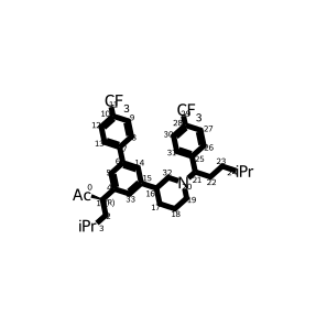 CC(=O)[C@H](CC(C)C)c1cc(-c2ccc(C(F)(F)F)cc2)cc(C2CCCN(C(CCC(C)C)c3ccc(C(F)(F)F)cc3)C2)c1